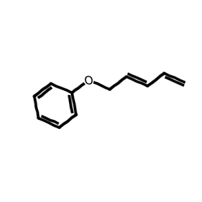 C=CC=CCOc1ccccc1